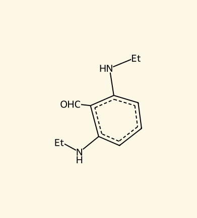 CCNc1cccc(NCC)c1C=O